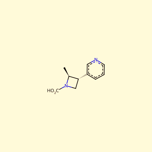 C[C@H]1[C@H](c2cccnc2)CN1C(=O)O